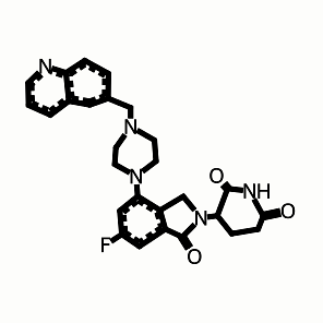 O=C1CCC(N2Cc3c(cc(F)cc3N3CCN(Cc4ccc5ncccc5c4)CC3)C2=O)C(=O)N1